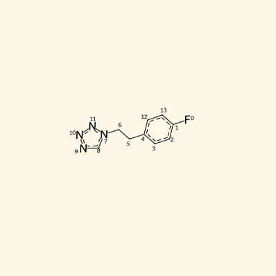 Fc1ccc(CCn2cnnn2)cc1